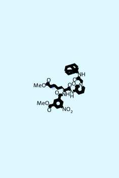 COC(=O)/C=C/CC[C@H](NC(=O)c1cc(C(=O)OC)cc([N+](=O)[O-])c1)C(=O)Nc1cccn(CC(=O)NC2C3CC4CC(C3)CC2C4)c1=O